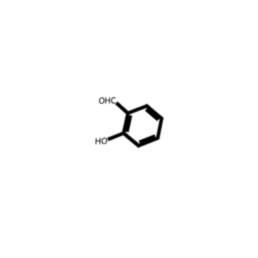 O=Cc1ccc[c]c1O